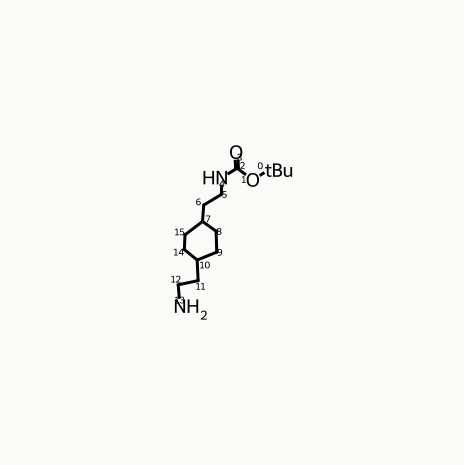 CC(C)(C)OC(=O)NCCC1CCC(CCN)CC1